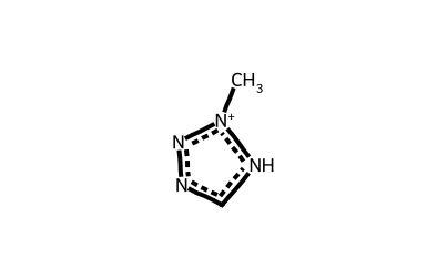 C[n+]1nnc[nH]1